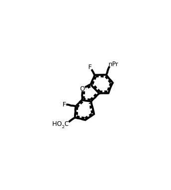 CCCc1ccc2c(oc3c(F)c(C(=O)O)ccc32)c1F